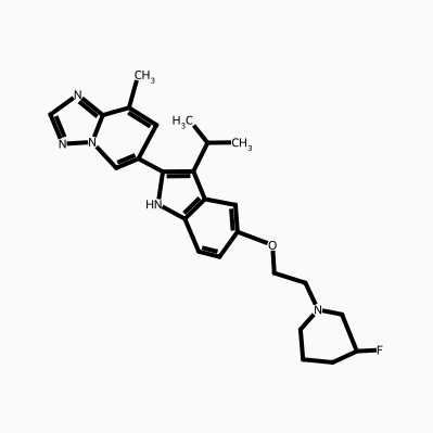 Cc1cc(-c2[nH]c3ccc(OCCN4CCCC(F)C4)cc3c2C(C)C)cn2ncnc12